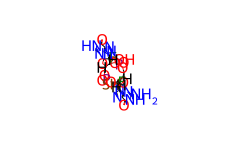 Nc1nc2c(ncn2[C@@H]2O[C@@H]3COP(=O)(O)O[C@@H]4[C@@H](COP(=O)(S)O[C@@H]2[C@@H]3F)OC[C@@]4(F)n2nnc3c(=O)[nH]cnc32)c(=O)[nH]1